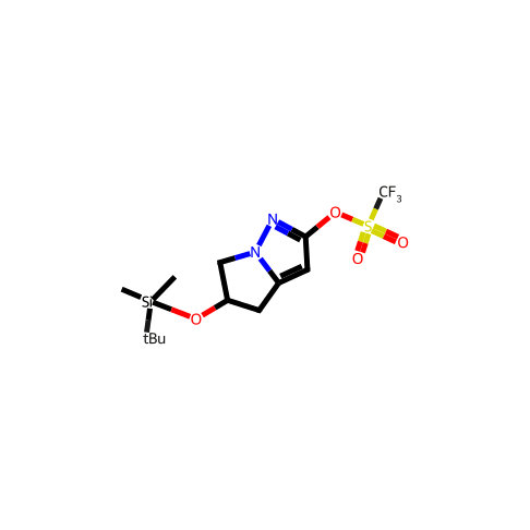 CC(C)(C)[Si](C)(C)OC1Cc2cc(OS(=O)(=O)C(F)(F)F)nn2C1